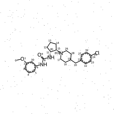 COc1cccc(NC(=O)N[C@@H]2CCC[C@H]2N2CCC(Cc3ccc(Cl)cc3)CC2)c1